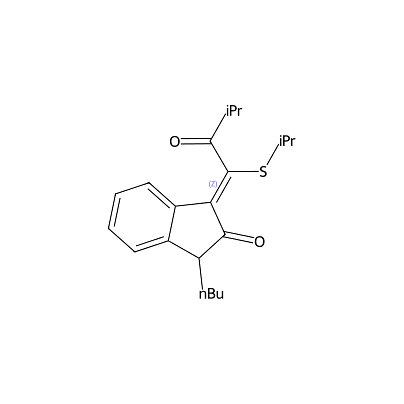 CCCCC1C(=O)/C(=C(\SC(C)C)C(=O)C(C)C)c2ccccc21